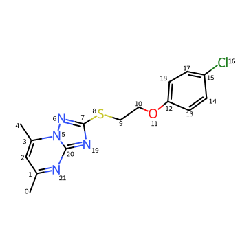 Cc1cc(C)n2nc(SCCOc3ccc(Cl)cc3)nc2n1